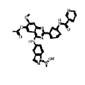 COc1cc2nc(-c3cccc(NC(=O)c4cccnc4)c3)nc(Nc3ccc4c(cnn4B(C)O)c3)c2cc1OC(C)=O